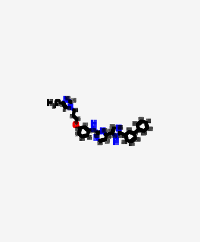 Cc1cn(CCCOc2cccc(Nc3nccc(-c4cnc(-c5cccc(-c6ccccc6)c5)[nH]4)n3)c2)cn1